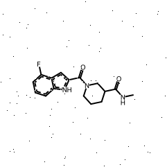 CNC(=O)C1CCCN(C(=O)c2cc3c(F)cccc3[nH]2)C1